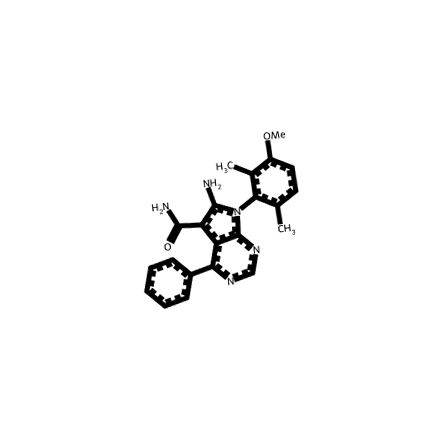 COc1ccc(C)c(-n2c(N)c(C(N)=O)c3c(-c4ccccc4)ncnc32)c1C